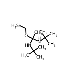 CC(C)(C)NC(C)(NC(C)(C)C)OC[SiH3]